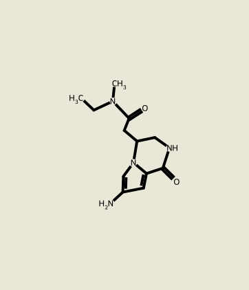 CCN(C)C(=O)CC1CNC(=O)c2cc(N)cn21